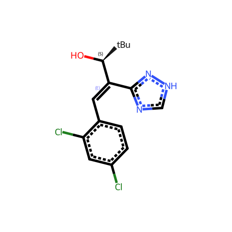 CC(C)(C)[C@H](O)/C(=C/c1ccc(Cl)cc1Cl)c1nc[nH]n1